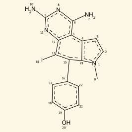 Cn1ccc2c3c(N)nc(N)nc3c(I)c(-c3ccc(O)cc3)c21